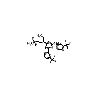 CCC(CCC(C)(F)F)c1nc(Nc2ccnc(C(F)(F)F)c2)nc(-c2cccc(C(F)(F)F)n2)n1